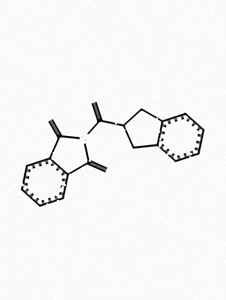 O=C1c2ccccc2C(=O)N1C(=O)C1Cc2ccccc2C1